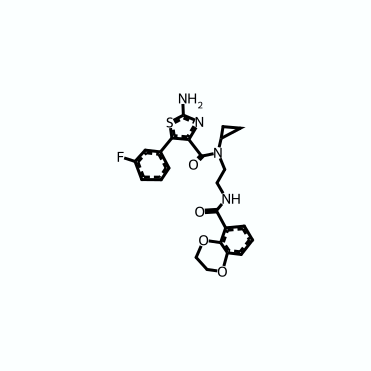 Nc1nc(C(=O)N(CCNC(=O)c2cccc3c2OCCO3)C2CC2)c(-c2cccc(F)c2)s1